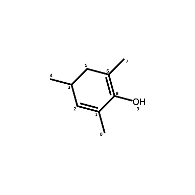 CC1=CC(C)CC(C)=C1O